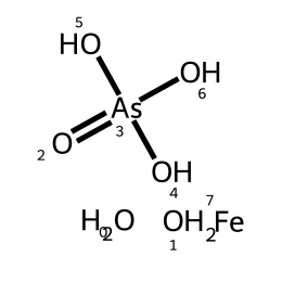 O.O.O=[As](O)(O)O.[Fe]